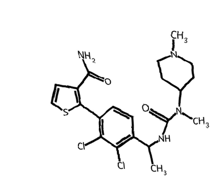 CC(NC(=O)N(C)C1CCN(C)CC1)c1ccc(-c2sccc2C(N)=O)c(Cl)c1Cl